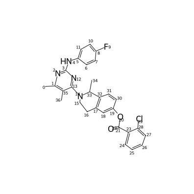 Cc1nc(Nc2ccc(F)cc2)nc(N2CCc3cc(OC(=O)c4ccccc4Cl)ccc3C2C)c1C